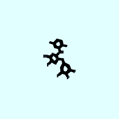 Cc1ccc(C)c(Nc2nc(=N)c(F)cn2Cc2cc(F)c(F)c(F)c2)c1